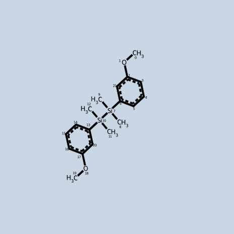 COc1cccc([Si](C)(C)[Si](C)(C)c2cccc(OC)c2)c1